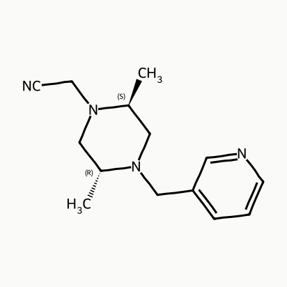 C[C@@H]1CN(CC#N)[C@@H](C)CN1Cc1cccnc1